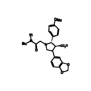 CCC(C)N(CC)C(=O)CN1CC(c2ccc3c(c2)OCO3)[C@H](C(=O)O)[C@H]1c1ccc(OC)cc1